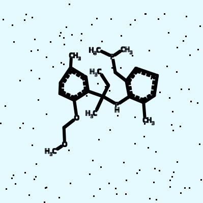 CCC(C)(Pc1c(C)cccc1CP(C)C)c1cc(C)ccc1OCOC